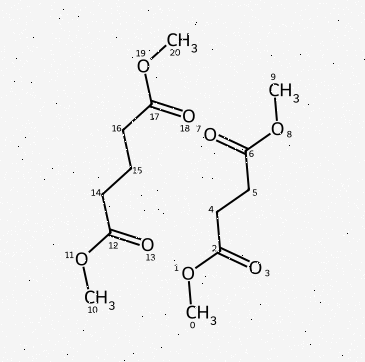 COC(=O)CCC(=O)OC.COC(=O)CCCC(=O)OC